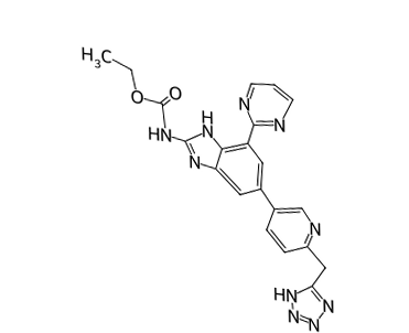 CCOC(=O)Nc1nc2cc(-c3ccc(Cc4nnn[nH]4)nc3)cc(-c3ncccn3)c2[nH]1